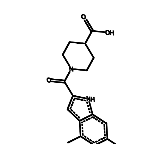 Cc1cc(C)c2cc(C(=O)N3CCC(C(=O)O)CC3)[nH]c2c1